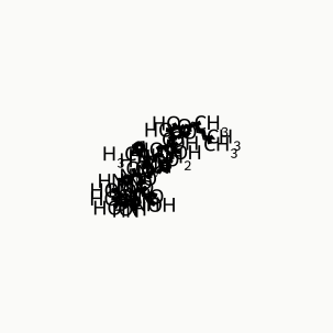 CC(C)=CCCC(C)CC1OCC2OC(OC3C(CO)OC(Oc4ccc(C[C@H](NC(=O)[C@H](Cc5ccccc5C)NC(=O)CN)C(=O)N[C@H](C(=O)N[C@H](C(=O)N[C@H]([C]=O)CO)C(O)C5CNC(=N)N5C5OC(CO)C(O)C(O)C5O)C(O)C5CNC(=N)N5)cc4)C(O)C3O)C(O)C(O)C2O1